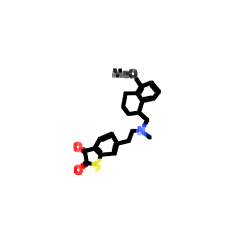 COc1cccc2c1CCCC2CN(C)CCc1ccc2c(c1)SC(=O)C2=O